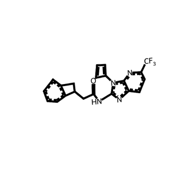 O=C(CC1Cc2ccccc21)Nc1nc2ccc(C(F)(F)F)nc2n1C1=CC=C1